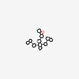 c1cc(-c2cccc3ccccc23)cc(-c2c3ccccc3c(-c3cccc(-c4cccc5ccccc45)c3)c3cc(-c4ccc5oc6ccccc6c5c4)ccc23)c1